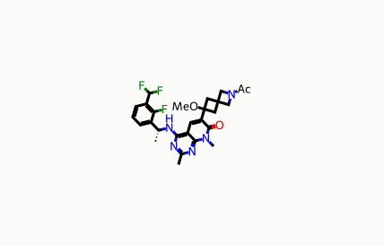 COC1(c2cc3c(N[C@H](C)c4cccc(C(F)F)c4F)nc(C)nc3n(C)c2=O)CC2(CN(C(C)=O)C2)C1